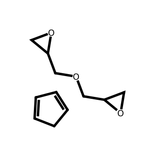 C(OCC1CO1)C1CO1.C1=CCC=C1